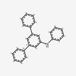 c1ccc([SiH]c2cc(-c3ccccc3)cc(-c3ccccc3)c2)cc1